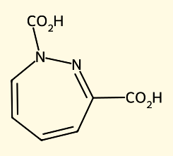 O=C(O)C1=NN(C(=O)O)C=CC=C1